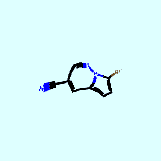 N#Cc1cnn2c(Br)ccc2c1